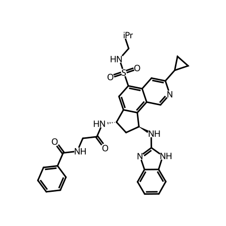 CC(C)CNS(=O)(=O)c1cc2c(c3cnc(C4CC4)cc13)[C@@H](Nc1nc3ccccc3[nH]1)C[C@@H]2NC(=O)CNC(=O)c1ccccc1